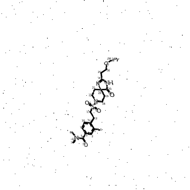 Cc1cc(C(=O)N(C)C)ccc1CCS(=O)(=O)N1CCC2(CC1)N=C(CCOC(C)C)NC2=O